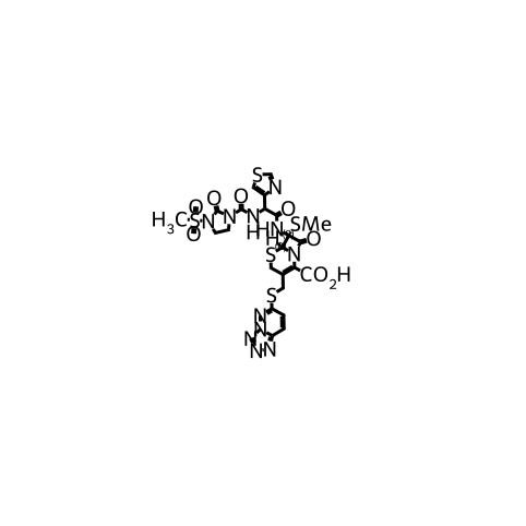 CS[C@@]1(NC(=O)C(NC(=O)N2CCN(S(C)(=O)=O)C2=O)c2cscn2)C(=O)N2C(C(=O)O)=C(CSc3ccc4nnnn4n3)CS[C@@H]21